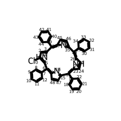 Clc1cc2[nH]c1c(-c1ccccc1)c1nc(c(-c3ccccc3)c3ccc([nH]3)c(-c3ccccc3)c3nc(c2-c2ccccc2)C=C3)C=C1